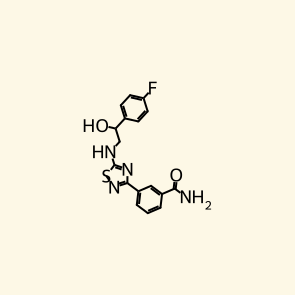 NC(=O)c1cccc(-c2nsc(NCC(O)c3ccc(F)cc3)n2)c1